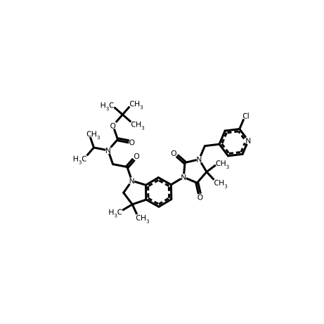 CC(C)N(CC(=O)N1CC(C)(C)c2ccc(N3C(=O)N(Cc4ccnc(Cl)c4)C(C)(C)C3=O)cc21)C(=O)OC(C)(C)C